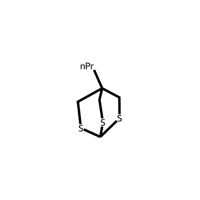 CCCC12CSC(SC1)SC2